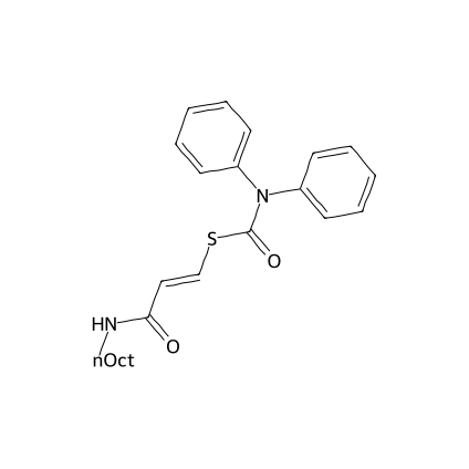 CCCCCCCCNC(=O)C=CSC(=O)N(c1ccccc1)c1ccccc1